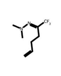 C=CCC/C(=N\N(C)C)C(F)(F)F